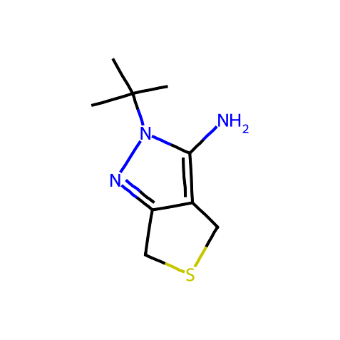 CC(C)(C)n1nc2c(c1N)CSC2